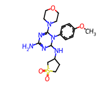 COc1ccc(N2C(N3CCOCC3)=NC(N)=NC2NC2CCS(=O)(=O)C2)cc1